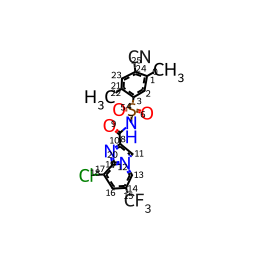 Cc1cc(S(=O)(=O)NC(=O)c2cn3cc(C(F)(F)F)cc(Cl)c3n2)c(C)cc1C#N